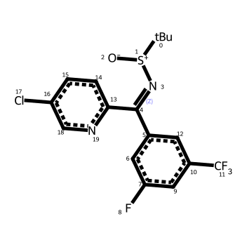 CC(C)(C)[S+]([O-])/N=C(/c1cc(F)cc(C(F)(F)F)c1)c1ccc(Cl)cn1